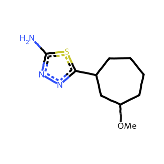 COC1CCCCC(c2nnc(N)s2)C1